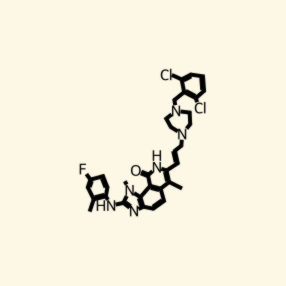 Cc1cc(F)ccc1Nc1nc2ccc3c(C)c(C=CCN4CCN(Cc5c(Cl)cccc5Cl)CC4)[nH]c(=O)c3c2n1C